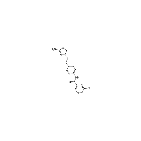 NC1=N[C@@H](CCc2ccc(NC(=O)c3cncc(Cl)n3)cc2)CO1